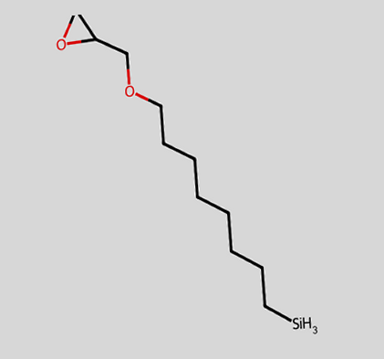 [SiH3]CCCCCCCCOCC1CO1